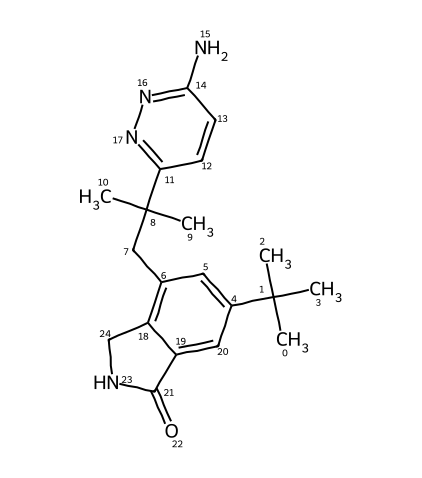 CC(C)(C)c1cc(CC(C)(C)c2ccc(N)nn2)c2c(c1)C(=O)NC2